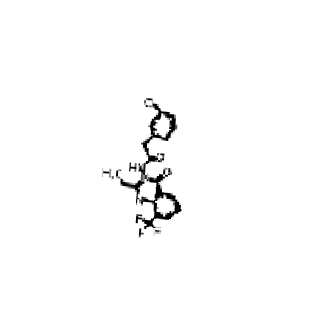 CCc1nc2c(C(F)(F)F)cccc2c(=O)n1NC(=O)Cc1cccc(Cl)c1